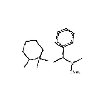 CC1CCCC[Si]1(C)C.CON(C)C(C)c1ccccc1